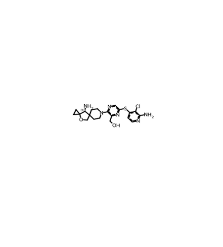 Nc1nccc(Sc2cnc(N3CCC4(CC3)COC3(CC3)[C@H]4N)c(CO)n2)c1Cl